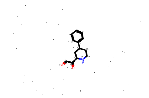 O=CC(=O)C1CC(c2ccccc2)CCN1